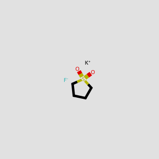 O=S1(=O)CCCC1.[F-].[K+]